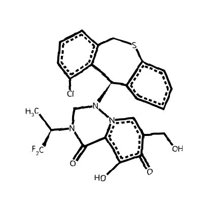 C[C@@H](N1CN([C@@H]2c3ccccc3SCc3cccc(Cl)c32)n2cc(CO)c(=O)c(O)c2C1=O)C(F)(F)F